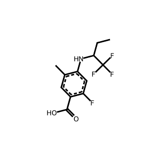 CCC(Nc1cc(F)c(C(=O)O)cc1C)C(F)(F)F